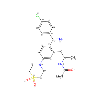 CNC(=O)NC(C)Cc1cc(N2CCS(=O)(=O)CC2)ccc1C(=N)c1ccc(Cl)cc1